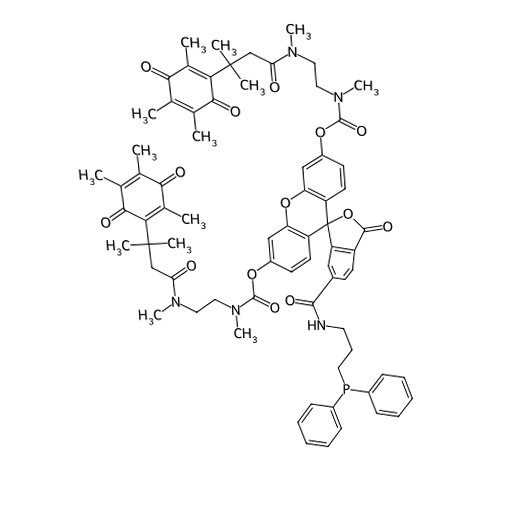 CC1=C(C)C(=O)C(C(C)(C)CC(=O)N(C)CCN(C)C(=O)Oc2ccc3c(c2)Oc2cc(OC(=O)N(C)CCN(C)C(=O)CC(C)(C)C4=C(C)C(=O)C(C)=C(C)C4=O)ccc2C32OC(=O)c3ccc(C(=O)NCCCP(c4ccccc4)c4ccccc4)cc32)=C(C)C1=O